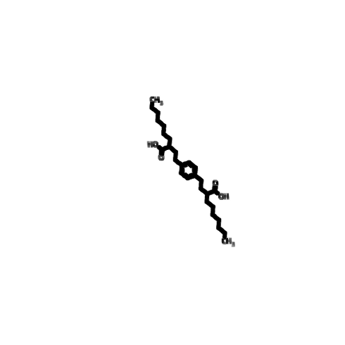 CCCCCCCC(CCc1ccc(CCC(CCCCCCC)C(=O)O)cc1)C(=O)O